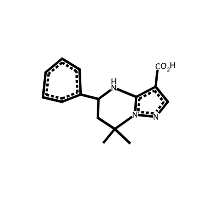 CC1(C)CC(c2ccccc2)Nc2c(C(=O)O)cnn21